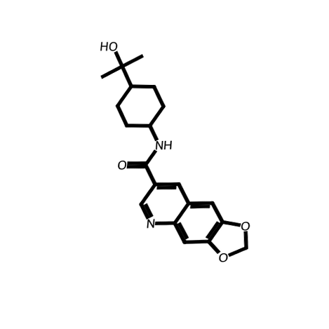 CC(C)(O)C1CCC(NC(=O)c2cnc3cc4c(cc3c2)OCO4)CC1